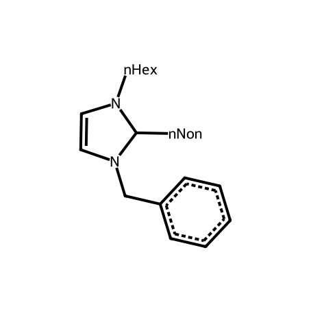 CCCCCCCCCC1N(CCCCCC)C=CN1Cc1ccccc1